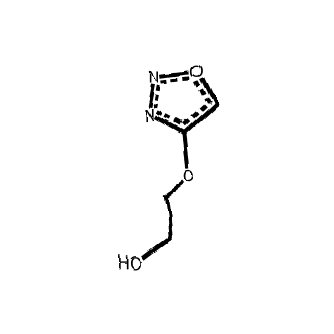 OCCOc1conn1